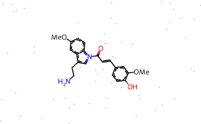 COc1ccc2c(c1)c(CCN)cn2C(=O)C=Cc1ccc(O)c(OC)c1